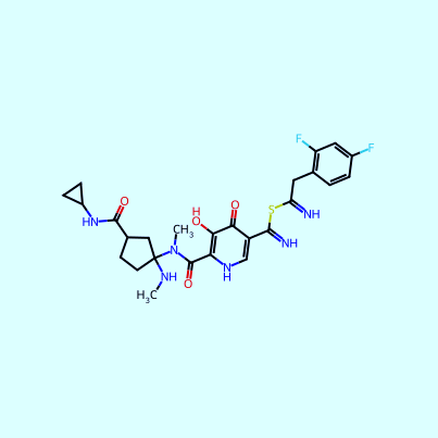 CNC1(N(C)C(=O)c2[nH]cc(C(=N)SC(=N)Cc3ccc(F)cc3F)c(=O)c2O)CCC(C(=O)NC2CC2)C1